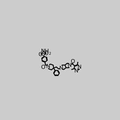 Cc1ncnc(C)c1C(=O)N1CC2CN(CCC3(c4ccccc4)CCN(C(=O)c4ccc(S(N)(=O)=O)cc4)CC3)CC2C1